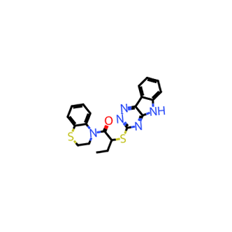 CCC(Sc1nnc2c(n1)[nH]c1ccccc12)C(=O)N1CCSc2ccccc21